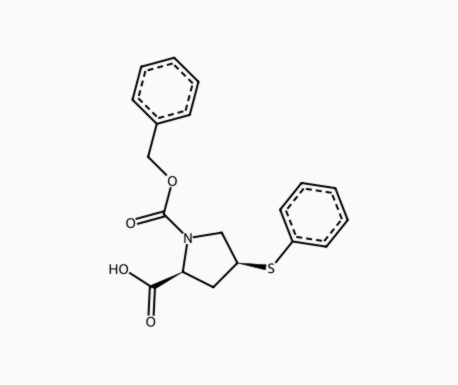 O=C(O)[C@@H]1C[C@H](Sc2ccccc2)CN1C(=O)OCc1ccccc1